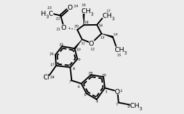 CCOc1ccc(Cc2cc([C@@H]3O[C@H](CC)C(C)[C@H](C)[C@H]3OC(C)=O)ccc2Cl)cc1